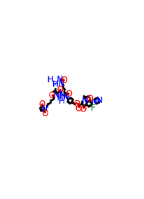 CC(C)C(NC(=O)CCCCCN1C(=O)C=CC1=O)C(=O)N[C@@H](CCCNC(N)=O)C(=O)Nc1ccc(COC(=O)c2cn3c4c(c(N5CCN(C)CC5)c(F)cc4c2=O)OCC3C)cc1